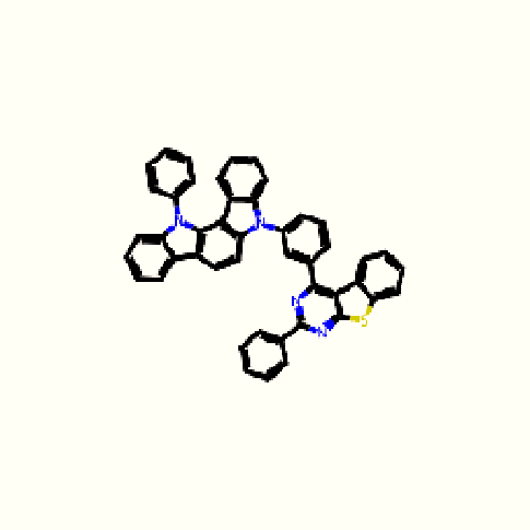 c1ccc(-c2nc(-c3cccc(-n4c5ccccc5c5c4ccc4c6ccccc6n(-c6ccccc6)c45)c3)c3c(n2)sc2ccccc23)cc1